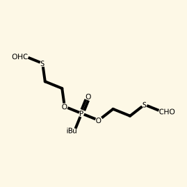 CCC(C)P(=O)(OCCSC=O)OCCSC=O